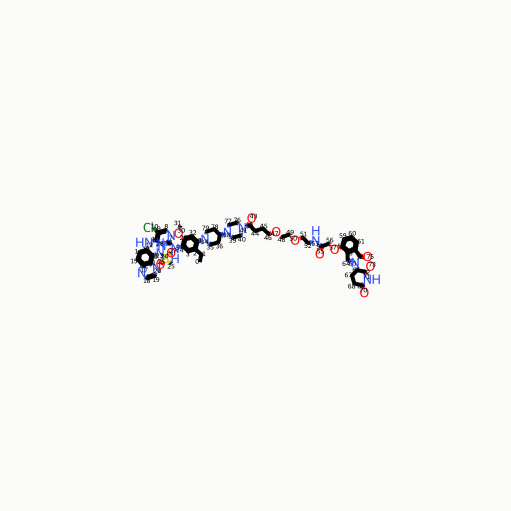 CCc1cc(Nc2ncc(Cl)c(Nc3ccc4nccnc4c3NS(C)(=O)=O)n2)c(OC)cc1N1CCC(N2CCN(C(=O)CCCOCCOCCNC(=O)COc3cccc4c3CN(C3CCC(=O)NC3=O)C4=O)CC2)CC1